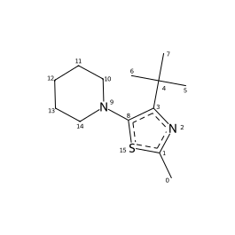 Cc1nc(C(C)(C)C)c(N2CCCCC2)s1